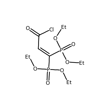 CCOP(=O)(OCC)C(=CC(=O)Cl)P(=O)(OCC)OCC